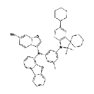 Cc1cc(N(c2coc3cc(C(C)(C)C)ccc23)c2cccc3c2oc2ccccc23)cc(N2c3ccc(C4CCCCC4)cc3C3(CCCCC3)C2(C)C)c1